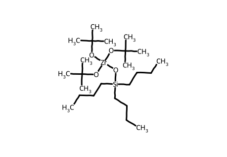 CCCC[Si](CCCC)(CCCC)[O][Zr]([O]C(C)(C)C)([O]C(C)(C)C)[O]C(C)(C)C